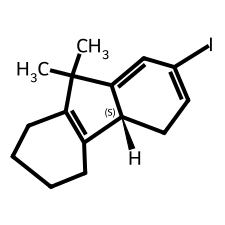 CC1(C)C2=CC(I)=CC[C@@H]2C2=C1CCCC2